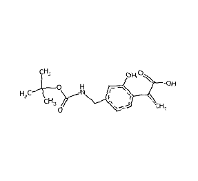 C=C(C(=O)O)c1ccc(CNC(=O)OC(C)(C)C)cc1O